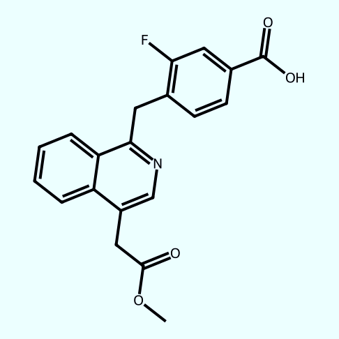 COC(=O)Cc1cnc(Cc2ccc(C(=O)O)cc2F)c2ccccc12